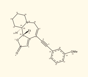 CC[C@]12OC(=O)C=C1C(C#Cc1cccc(OC)c1)=CCN1CCCC[C@@H]12